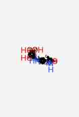 CC1CC(=O)NN=C1c1ccc(NN=Cc2cc(O)c(O)cc2O)cc1